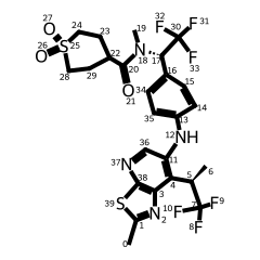 Cc1nc2c([C@@H](C)C(F)(F)F)c(Nc3ccc([C@H](N(C)C(=O)C4CCS(=O)(=O)CC4)C(F)(F)F)cc3)cnc2s1